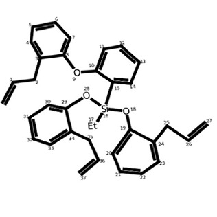 C=CCc1ccccc1Oc1ccccc1[Si](CC)(Oc1ccccc1CC=C)Oc1ccccc1CC=C